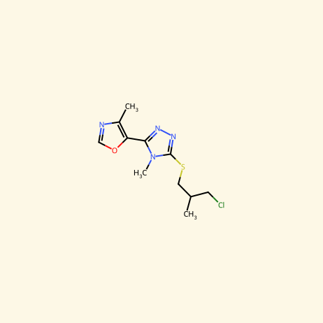 Cc1ncoc1-c1nnc(SCC(C)CCl)n1C